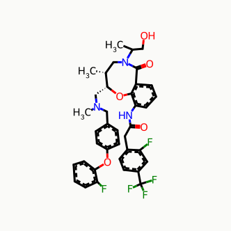 CC(CO)N1C[C@@H](C)[C@@H](CN(C)Cc2ccc(Oc3ccccc3F)cc2)Oc2c(NC(=O)Cc3ccc(C(F)(F)F)cc3F)cccc2C1=O